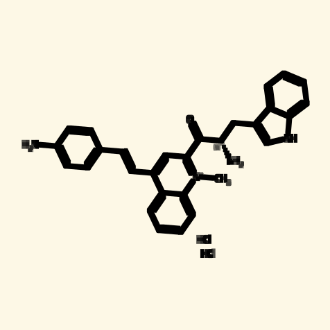 C[n+]1c(C(=O)[C@@H](N)Cc2c[nH]c3ccccc23)cc(C=Cc2ccc(N)cc2)c2ccccc21.Cl.Cl